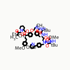 CCC(C)(C)C(=O)C(=O)N1CCCCC1C(=O)O[C@H](CCc1ccc(OC)c(OC)c1)c1cccc(OCCN(C)C(=O)N[C@H](C(=O)N[C@@H](Cc2ccccc2)[C@@H](O)CN(Cc2ccc(-c3ccccn3)cc2)NC(=O)[C@@H](NC(=O)OC)C(C)(C)C)C(C)(C)C)c1